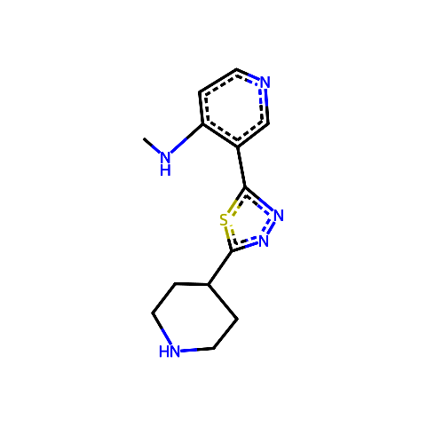 CNc1ccncc1-c1nnc(C2CCNCC2)s1